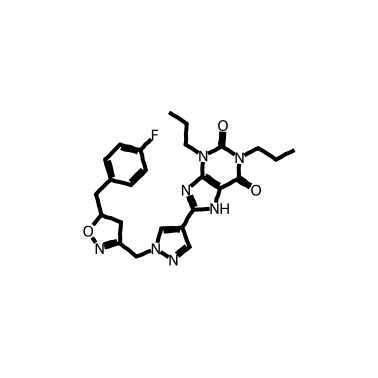 CCCn1c(=O)c2[nH]c(-c3cnn(CC4=NOC(Cc5ccc(F)cc5)C4)c3)nc2n(CCC)c1=O